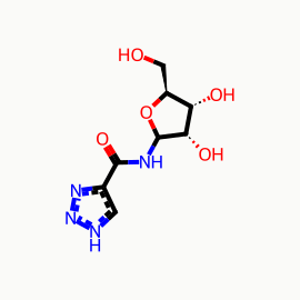 O=C(NC1O[C@@H](CO)[C@H](O)[C@@H]1O)c1c[nH]nn1